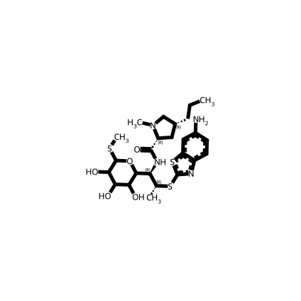 CCC[C@@H]1C[C@H](C(=O)N[C@H](C2OC(SC)C(O)C(O)C2O)[C@@H](C)Sc2nc3ccc(N)cc3s2)N(C)C1